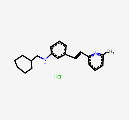 Cc1cccc(/C=C/c2cccc(NCC3CCCCC3)c2)n1.Cl